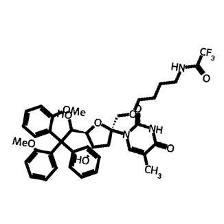 COc1ccccc1C(c1ccccc1)(c1ccccc1OC)C(O)[C@H]1O[C@@](COCCCCNC(=O)C(F)(F)F)(n2cc(C)c(=O)[nH]c2=O)C[C@@H]1O